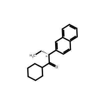 CC[C@@H](C(=O)C1CCCCC1)c1ccc2ccccc2c1